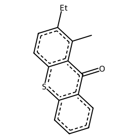 CCc1ccc2sc3ccccc3c(=O)c2c1C